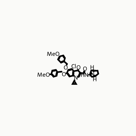 COc1ccc(COc2cc3c(c(Cl)c2OCc2ccc(OC)cc2)c(=O)c(C(=O)N[C@@H]2C[C@H]4CC[C@@H](C2)N4C)cn3C2CC2)cc1